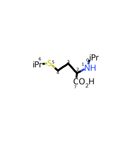 CC(C)NC(CCSC(C)C)C(=O)O